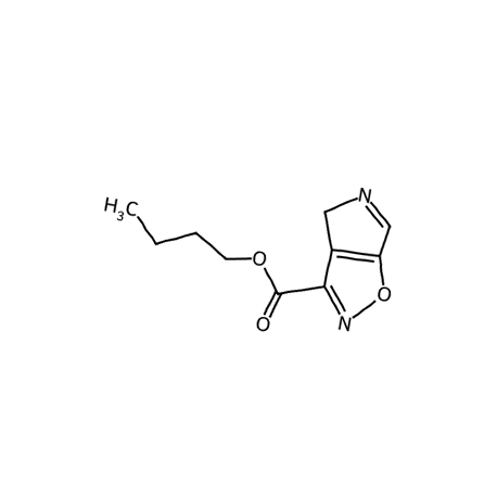 CCCCOC(=O)c1noc2c1CN=C2